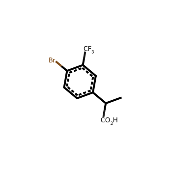 CC(C(=O)O)c1ccc(Br)c(C(F)(F)F)c1